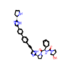 O=C(N[C@@H](C(=O)N1CCC[C@H]1c1ncc(C#Cc2ccc(-c3ccc(-c4cnc([C@@H]5CCCN5)[nH]4)cc3)cc2)[nH]1)c1ccccc1)N1CC[C@@H](O)C1